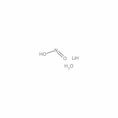 O.O=NO.[LiH]